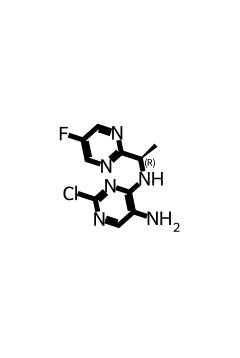 C[C@@H](Nc1nc(Cl)ncc1N)c1ncc(F)cn1